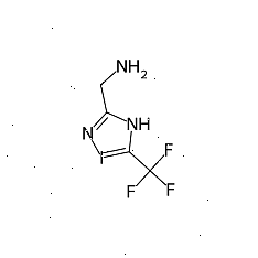 NCC1=NI=C(C(F)(F)F)N1